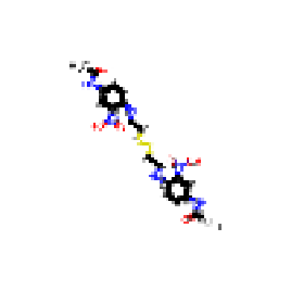 CC(=O)Nc1ccc(NCCSSCCNc2ccc(NC(C)=O)cc2[N+](=O)O)c([N+](=O)O)c1